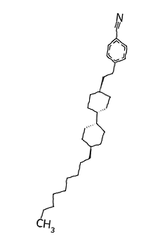 CCCCCCCCC[C@H]1CC[C@H]([C@H]2CC[C@H](CCc3ccc(C#N)cc3)CC2)CC1